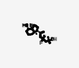 CC(CC(F)(F)CC(C)(C)O)[C@H]1CC[C@H]2[C@@H](O)CCC[C@]12C